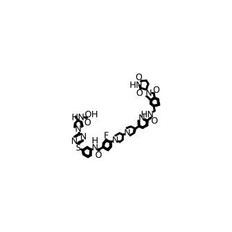 CC1(NC(=O)O)C=CN(c2cnc(Sc3cccc(NC(=O)c4ccc(N5CCC(N6CC=C(c7ccc(C(=O)NCc8ccc9c(c8)CN(C8CCC(=O)NC8=O)C9=O)nc7)CC6)CC5)c(F)c4)c3)cn2)C=C1